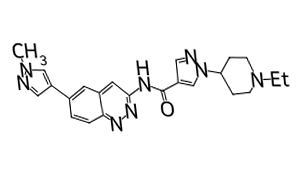 CCN1CCC(n2cc(C(=O)Nc3cc4cc(-c5cnn(C)c5)ccc4nn3)cn2)CC1